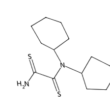 NC(=S)C(=S)N(C1CCCCC1)C1CCCCC1